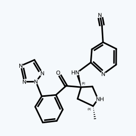 C[C@@H]1C[C@](Nc2cc(C#N)ccn2)(C(=O)c2ccccc2-n2ncnn2)CN1